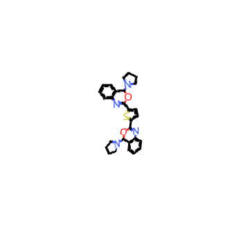 c1ccc2c(c1)N=C(c1ccc(C3=Nc4ccccc4C(N4CCCC4)O3)s1)OC2N1CCCC1